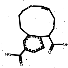 O=C(O)c1ccc2c(c1)CCCCC=CCCC2C(=O)O